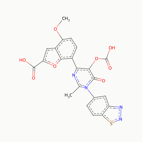 COc1ccc(-c2nc(C)n(-c3ccc4snnc4c3)c(=O)c2OC(=O)O)c2oc(C(=O)O)cc12